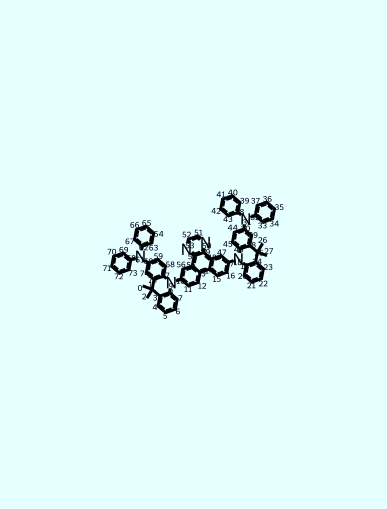 CC1(C)c2ccccc2N(c2ccc3c4ccc(N5c6ccccc6C(C)(C)c6cc(N(c7ccccc7)c7ccccc7)ccc65)cc4c4nccnc4c3c2)c2ccc(N(c3ccccc3)c3ccccc3)cc21